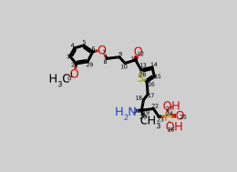 COc1cccc(OCCCC(=O)c2ccc(CCC(C)(N)CCP(=O)(O)O)s2)c1